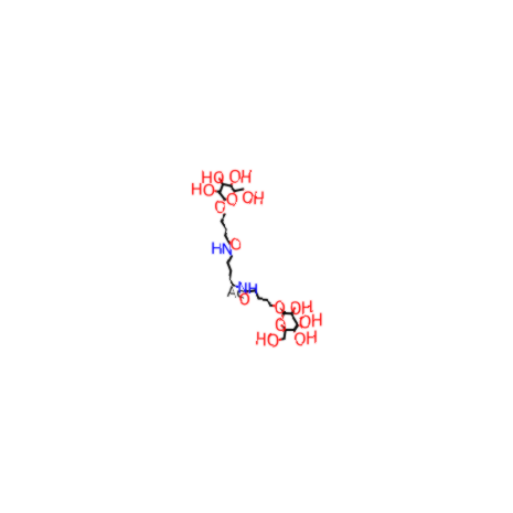 CC(=O)C(CCCCNC(=O)CCCCOC1OC(CO)C(O)C(O)C1O)NC(=O)CCCCO[C@@H]1OC(CO)C(O)C(O)C1O